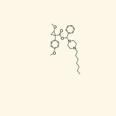 CCCCCCCN1CCN(C(OC(=O)C2(c3ccc(OC)cc3)CC2OC)c2ccccc2)CC1